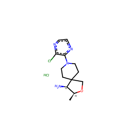 C[C@@H]1OCC2(CCN(c3nccnc3Cl)CC2)[C@@H]1N.Cl